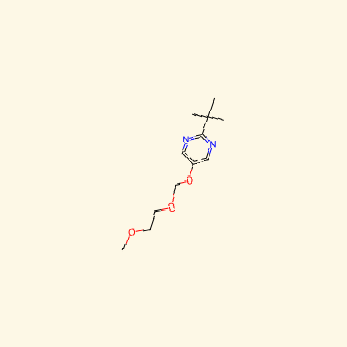 COCCOCOc1cnc(C(C)(C)C)nc1